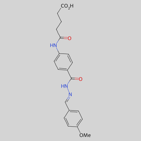 COc1ccc(C=NNC(=O)c2ccc(NC(=O)CCCC(=O)O)cc2)cc1